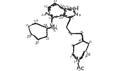 CC(=O)N1CCC(CCc2n[nH]c3ccnc(NC4CCCCC4)c23)CC1